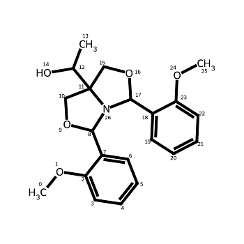 COc1ccccc1C1OCC2(C(C)O)COC(c3ccccc3OC)N12